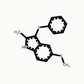 CSc1ccc2[nH]c(C)c(Sc3ccccc3)c2c1